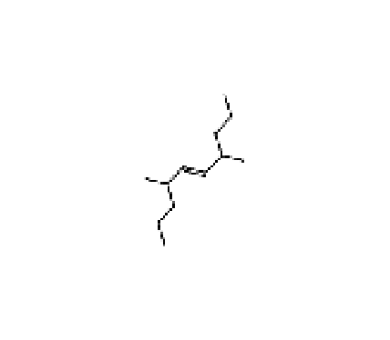 CCCC(C)/C=C/C(C)CCC